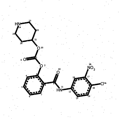 O=C(Oc1ccccc1C(=O)Nc1ccc(Cl)c([N+](=O)[O-])c1)OC1CCNCC1